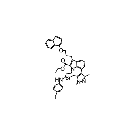 CCOC(=O)c1c(CCCOc2cccc3ccccc23)c2cccc(-c3c(C)nn(C)c3CBr)c2n1CCCNc1ccc(I)cc1